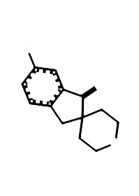 O=C1c2cc(Br)ccc2CC12CCOCC2